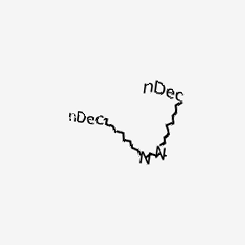 CCCCCCCCCCCCCCCCCCCCN(C)CCN(C)CCCCCCCCCCCCCCCCCCCC